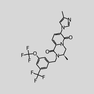 Cc1cn(-c2ccc3n(c2=O)C[C@@H](C)N(Cc2cc(OC(F)(F)F)cc(C(F)(F)F)c2)C3=O)cn1